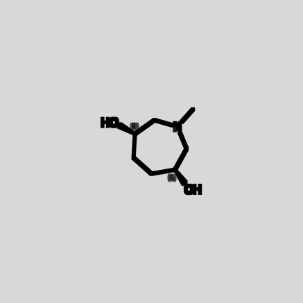 CN1C[C@H](O)CC[C@H](O)C1